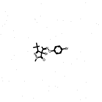 CC(=NOc1ccc(Br)cc1)C1(Br)C(=O)N(C)N=C1C(C)(C)C